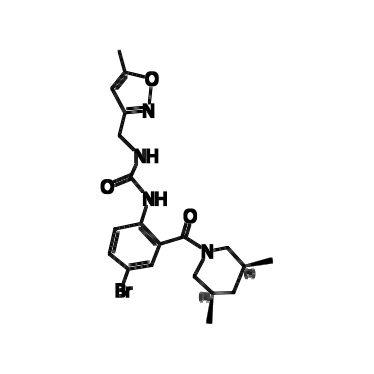 Cc1cc(CNC(=O)Nc2ccc(Br)cc2C(=O)N2C[C@H](C)C[C@H](C)C2)no1